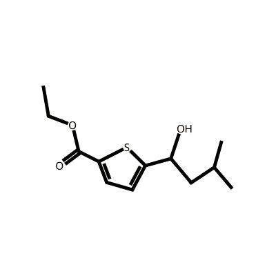 CCOC(=O)c1ccc(C(O)CC(C)C)s1